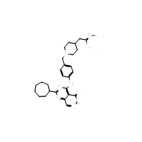 N/N=C(\N)CC1CCN(Cc2ccc(Nc3nc(C4CCCCCC4)nc4cn[nH]c(=O)c34)cc2)CC1